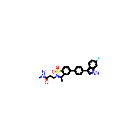 CNC(=O)CCN1C(C)c2cc(-c3ccc(-c4c[nH]c5cc(F)ccc45)cc3)ccc2S1(=O)=O